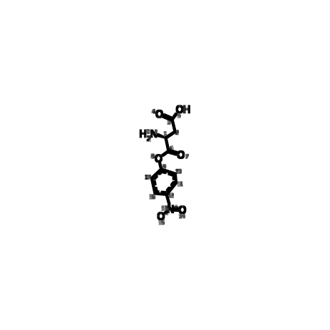 N[C@@H](CC(=O)O)C(=O)Oc1ccc([N+](=O)[O-])cc1